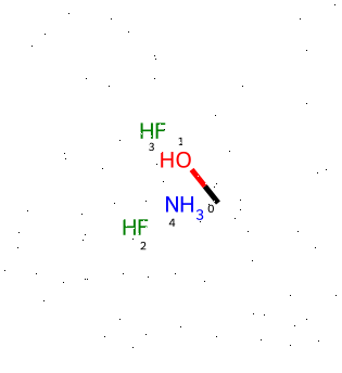 CO.F.F.N